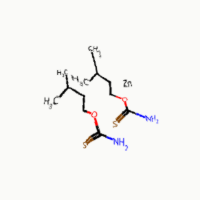 CC(C)CCOC(N)=S.CC(C)CCOC(N)=S.[Zn]